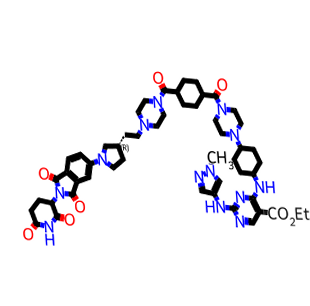 CCOC(=O)c1cnc(Nc2cnn(C)c2)nc1NC1CCC(N2CCN(C(=O)C3CCC(C(=O)N4CCN(CC[C@@H]5CCN(c6ccc7c(c6)C(=O)N(C6CCC(=O)NC6=O)C7=O)C5)CC4)CC3)CC2)CC1